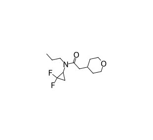 CCCN(C(=O)CC1CCOCC1)C1CC1(F)F